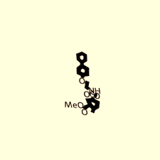 COC(=O)c1cc(S(=O)(=O)NCCOc2ccc(C3CCCCC3)cc2)ccc1C